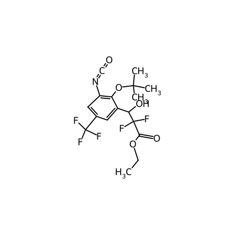 CCOC(=O)C(F)(F)C(O)c1cc(C(F)(F)F)cc(N=C=O)c1OC(C)(C)C